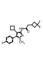 Cn1nc(NC(=O)CC2CC(F)(F)C2)c(C2CCC2)c1-c1ccc(F)cc1